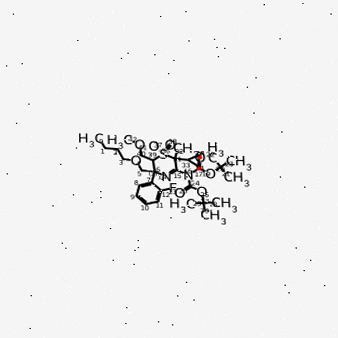 CCCCOC[C@]1(c2ccccc2F)N=C(N(C(=O)OC(C)(C)C)C(=O)OC(C)(C)C)C(C)(C2CC2)S(=O)(=O)C1COC